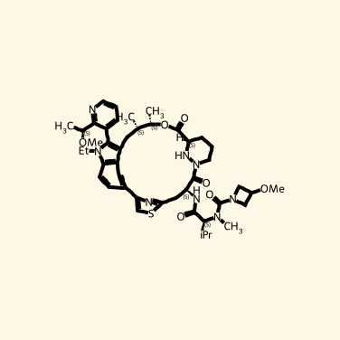 CCn1c(-c2cccnc2[C@H](C)OC)c2c3cc(ccc31)-c1csc(n1)C[C@H](NC(=O)[C@H](C(C)C)N(C)C(=O)N1CC(OC)C1)C(=O)N1CCC[C@H](N1)C(=O)O[C@@H](C)[C@@H](C)C2